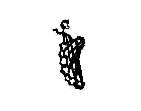 CCCC1(c2cccs2)C2c3cc4cc5c6c4c4c3c3c7c8c9c%10c(cc%11c%12c%13c(cc(c%14c%13c%13c(c%12%10)c9c3c4c%13c6%14)C5)C%11)CC8=CC721